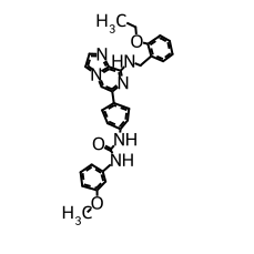 CCOc1ccccc1CNc1nc(-c2ccc(NC(=O)Nc3cccc(OC)c3)cc2)cn2ccnc12